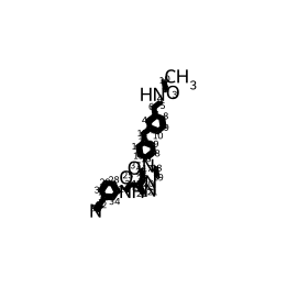 CCC(=O)NCCc1cccc(Cc2ccc(N3CCn4ncc(C(=O)Nc5cccc(C#N)c5)c4C3=O)cc2)c1